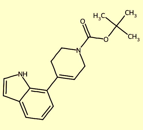 CC(C)(C)OC(=O)N1CC=C(c2cccc3cc[nH]c23)CC1